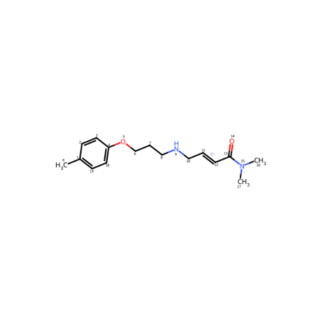 Cc1ccc(OCCCNC/C=C/C(=O)N(C)C)cc1